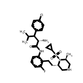 CC(C)C(c1ccc(Cl)cc1)[C@H](N)C(=O)Nc1cccc(F)c1CC[C@H]1CNC[C@H](C)N1S(=O)(=O)C1CC1